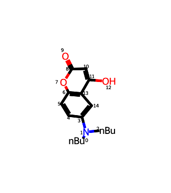 CCCCN(CCCC)c1ccc2oc(=O)cc(O)c2c1